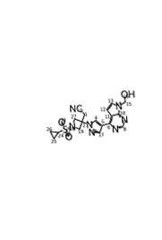 N#CCC1(n2cc(-c3ncnc4c3ccn4CO)cn2)CN(S(=O)(=O)C2CC2)C1